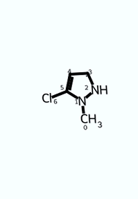 CN1N[C]C=C1Cl